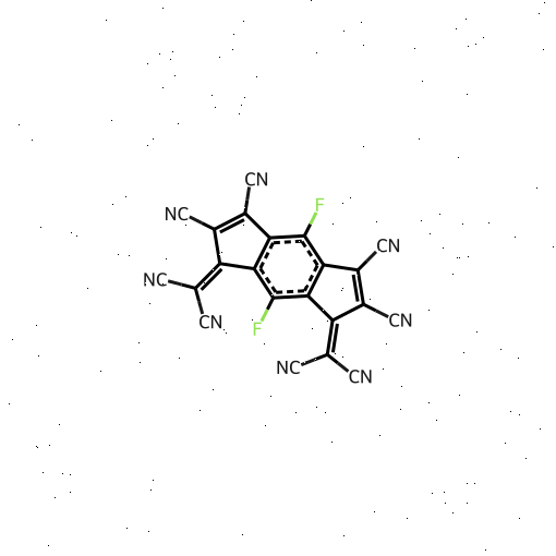 N#CC(C#N)=C1C(C#N)=C(C#N)c2c(F)c3c(c(F)c21)C(=C(C#N)C#N)C(C#N)=C3C#N